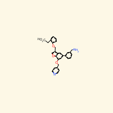 NCc1cccc(-c2cc(OCc3ccncc3)c3occ(COc4ccccc4CC(=O)O)c3c2)c1